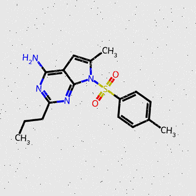 CCCc1nc(N)c2cc(C)n(S(=O)(=O)c3ccc(C)cc3)c2n1